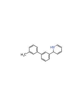 Cc1cccc(-c2cccc(C3C=CC=CN3)c2)c1